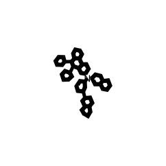 c1ccc(-c2c(-c3ccccc3)c3cc(N(c4cccc(-c5ccc6ccccc6c5)c4)c4ccc5ccccc5c4)ccc3c3ccccc23)cc1